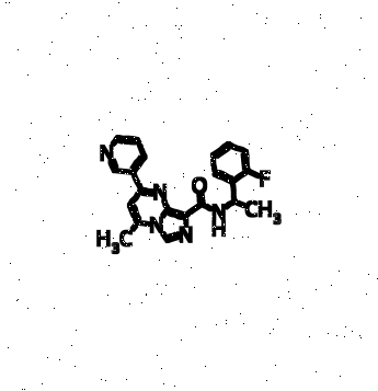 Cc1cc(-c2cccnc2)nc2c(C(=O)NC(C)c3ccccc3F)ncn12